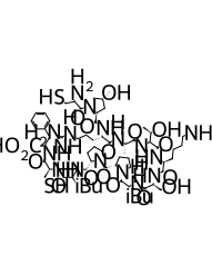 CC[C@H](C)[C@H](NC(=O)[C@@H]1CCCN1C(=O)[C@@H]1CCCN1C(=O)[C@@H](NC(=O)[C@H](CO)NC(=O)[C@H](CCCCN)NC(=O)[C@@H](NC(=O)[C@H](C)NC(=O)[C@H](CCCNC(=N)N)NC(=O)[C@@H]1C[C@@H](O)CN1C(=O)[C@@H](N)CS)[C@@H](C)O)[C@@H](C)CC)C(=O)N[C@@H](CS)C(=O)N[C@@H](Cc1ccccc1)C(=O)O